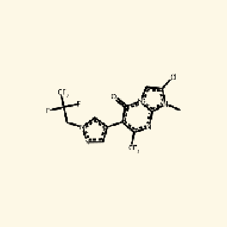 Cn1c(Cl)cn2c(=O)c(-c3cnn(CC(F)(F)C(F)(F)F)c3)c(C(F)(F)F)nc12